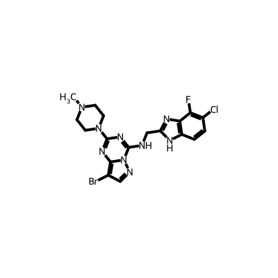 CN1CCN(c2nc(NCc3nc4c(F)c(Cl)ccc4[nH]3)n3ncc(Br)c3n2)CC1